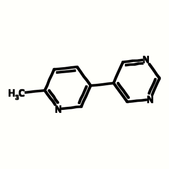 Cc1ccc(-c2cncnc2)cn1